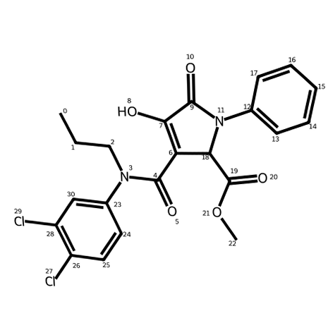 CCCN(C(=O)C1=C(O)C(=O)N(c2ccccc2)C1C(=O)OC)c1ccc(Cl)c(Cl)c1